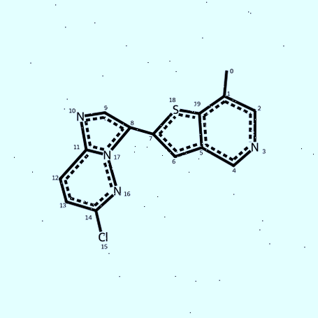 Cc1cncc2cc(-c3cnc4ccc(Cl)nn34)sc12